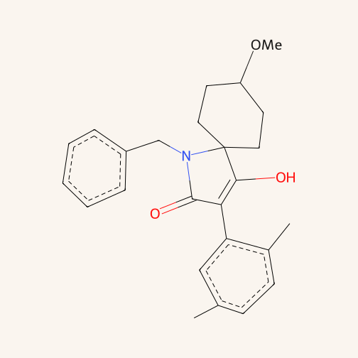 COC1CCC2(CC1)C(O)=C(c1cc(C)ccc1C)C(=O)N2Cc1ccccc1